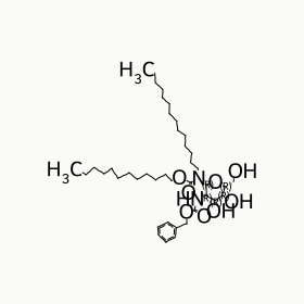 CCCCCCCCCCCCCCN(C(=O)OCCCCCCCCCCCC)[C@@H]1O[C@H](CO)[C@H](O)[C@H](O)[C@H]1NC(=O)OCc1ccccc1